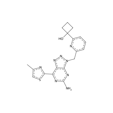 Cc1csc(-c2nc(N)nc3c2nnn3Cc2cccc(C3(O)CCC3)n2)n1